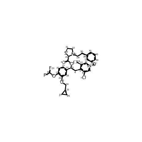 O=C(OC(Cc1c(Cl)c[n+]([O-])cc1Cl)c1ccc(OC(F)F)c(OCC2CC2)c1)C1SCCN1CCc1ccccc1